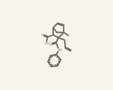 C=CCC1(C(=O)Nc2ccccc2)C(C(=O)O)C2C=CC1(C)C2